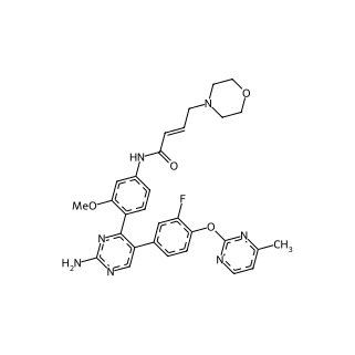 COc1cc(NC(=O)/C=C/CN2CCOCC2)ccc1-c1nc(N)ncc1-c1ccc(Oc2nccc(C)n2)c(F)c1